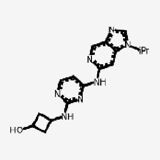 CC(C)n1cnc2cnc(Nc3ccnc(NC4CC(O)C4)n3)cc21